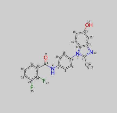 O=C(Nc1ccc(-n2c(C(F)(F)F)nc3cc(O)ccc32)cc1)c1cccc(F)c1F